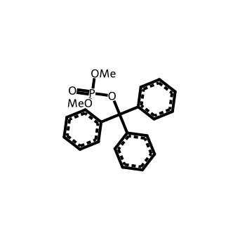 COP(=O)(OC)OC(c1ccccc1)(c1ccccc1)c1ccccc1